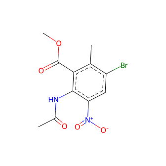 COC(=O)c1c(C)c(Br)cc([N+](=O)[O-])c1NC(C)=O